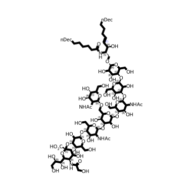 CCCCCCCCCCCCC/C=C/[C@@H](O)[C@H](CO[C@@H]1OC(CO)[C@@H](O[C@@H]2OC(CO)[C@H](O)[C@H](O[C@@H]3OC(CO)[C@@H](O[C@@H]4OC(CO[C@@H]5OC(CO)[C@@H](O)[C@H](O)C5NC(C)=O)[C@H](O)[C@H](O[C@@H]5OC(CO)[C@@H](O[C@@H]6OC(CO)[C@H](O)[C@H](O[C@]7(C(=O)O)CC(O)[C@@H](NC(=O)CO)C([C@H](O)[C@H](O)CO)O7)C6O)[C@H](O)C5NC(C)=O)C4O)[C@H](O)C3NC(C)=O)C2O)[C@H](O)C1O)NC(=O)CCCCCCCCCCCCCCC